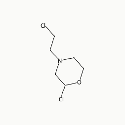 ClCCN1CCOC(Cl)C1